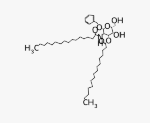 CCCCCCCCCCCCCCCC(=O)N[C@H]1[C@H](OCc2ccccc2)O[C@H](CO)[C@@H](O)[C@@H]1OC(=O)CCCCCCCCCCCCCCC